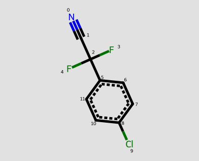 N#CC(F)(F)c1ccc(Cl)cc1